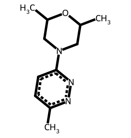 Cc1ccc(N2CC(C)OC(C)C2)nn1